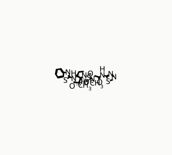 C[C@@H]1C(=O)N(c2nc3ccccc3s2)[C@H]2CCN(S(=O)(=O)N(C)CC(=O)Nc3nncs3)[C@H]12